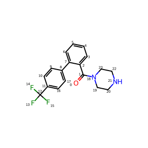 O=C(c1ccccc1-c1ccc(C(F)(F)F)cc1)N1CCNCC1